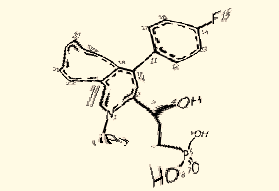 CC(C)n1c(C(O)CP(=O)(O)O)c(-c2ccc(F)cc2)c2ccccc21